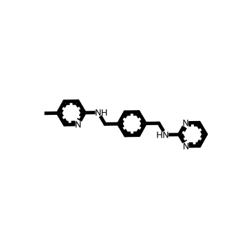 Cc1ccc(NCc2ccc(CNc3ncccn3)cc2)nc1